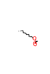 [CH2]CCCCCCCCOC(C)=O